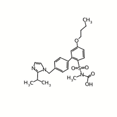 CCCCOc1ccc(S(=O)(=O)N(C)C(=O)O)c(-c2ccc(Cn3ccnc3C(C)C)cc2)c1